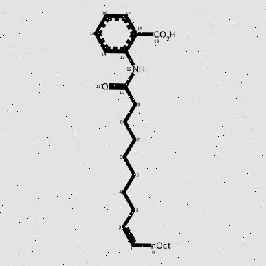 CCCCCCCC/C=C\CCCCCCCC(=O)Nc1ccccc1C(=O)O